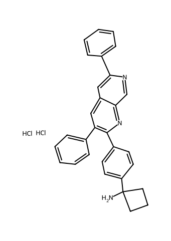 Cl.Cl.NC1(c2ccc(-c3nc4cnc(-c5ccccc5)cc4cc3-c3ccccc3)cc2)CCC1